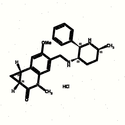 COc1cc2c(cc1CN[C@H]1CC[C@H](C)N[C@H]1c1ccccc1)N(C)C(=O)[C@@H]1C[C@H]21.Cl